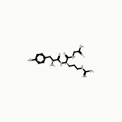 N=C(N)NCCC[C@@H](NC(=O)[C@@H](N)Cc1ccc(O)cc1)C(=O)NCC(=O)O